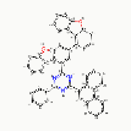 C1=CC(c2cc(-c3nc(-c4ccccc4)nc(-c4cc5ccccc5c5ccccc45)n3)c3c(c2)oc2ccccc23)=C2c3ccccc3OC2C1